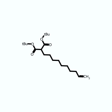 C=CCCCCCCCCC(C(=O)OC(C)(C)C)C(=O)OC(C)(C)C